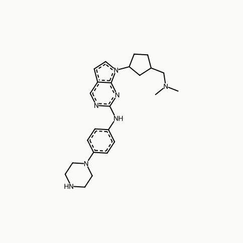 CN(C)CC1CCC(n2ccc3cnc(Nc4ccc(N5CCNCC5)cc4)nc32)C1